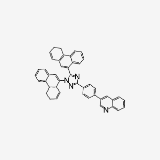 C1=Cc2cc(-c3nc(-c4ccc(-c5cnc6ccccc6c5)cc4)nn3C3=Cc4ccccc4C4CCC=CC34)c3ccccc3c2CC1